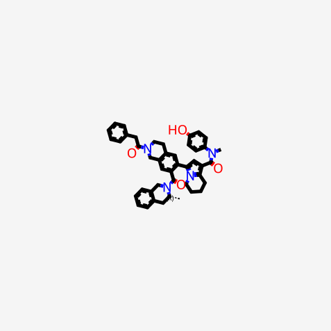 C[C@@H]1Cc2ccccc2CN1C(=O)c1cc2c(cc1-c1cc(C(=O)N(C)c3ccc(O)cc3)c3n1CCCC3)CCN(C(=O)Cc1ccccc1)C2